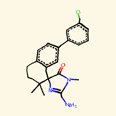 CN1C(=O)C2(N=C1N)c1cc(-c3cccc(Cl)c3)ccc1CCC2(C)C